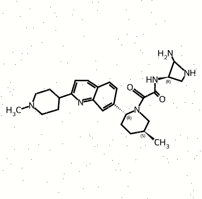 C[C@H]1CC[C@H](c2ccc3ccc(C4CCN(C)CC4)nc3c2)N(C(=O)C(=O)N[C@@H]2CNC2N)C1